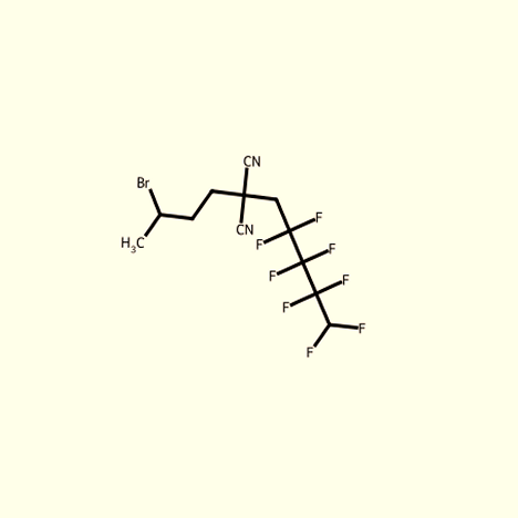 CC(Br)CCC(C#N)(C#N)CC(F)(F)C(F)(F)C(F)(F)C(F)F